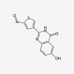 O=Nc1cc(-c2nc3ccc(O)cc3c(=O)[nH]2)cs1